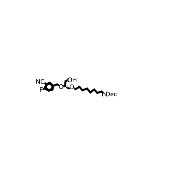 CCCCCCCCCCCCCCCCCCOC[C@H](CO)OCc1ccc(F)c(C#N)c1